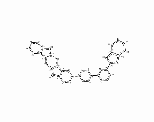 c1cc(-c2ccc(-c3ccc4oc5cc6c(cc5c4c3)oc3ccccc36)cc2)cc(-c2cn3ccccc3n2)c1